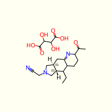 CCC1C2CCC(C(C)=O)N=C2C[C@@H]2CN(CC#N)C[C@@H]12.O=C(O)C(O)C(O)C(=O)O